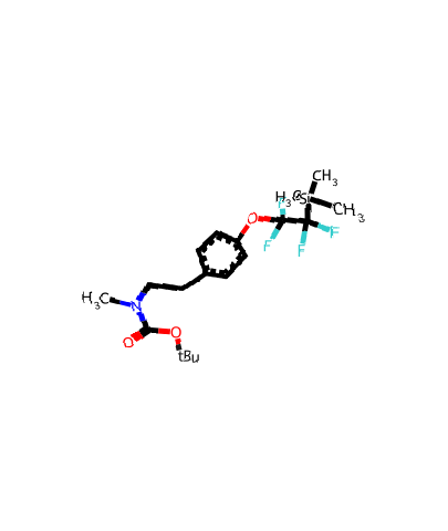 CN(CCc1ccc(OC(F)(F)C(F)(F)[Si](C)(C)C)cc1)C(=O)OC(C)(C)C